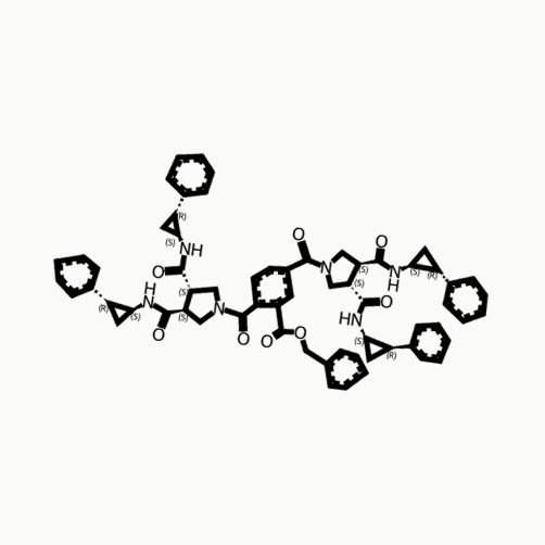 O=C(OCc1ccccc1)c1cc(C(=O)N2C[C@@H](C(=O)N[C@H]3C[C@@H]3c3ccccc3)[C@H](C(=O)N[C@H]3C[C@@H]3c3ccccc3)C2)ccc1C(=O)N1C[C@@H](C(=O)N[C@H]2C[C@@H]2c2ccccc2)[C@H](C(=O)N[C@H]2C[C@@H]2c2ccccc2)C1